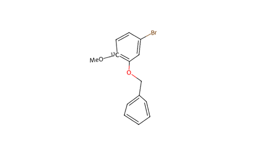 CO[13c]1ccc(Br)cc1OCc1ccccc1